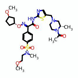 COCCN(C)S(=O)(=O)c1ccc(/C(=N\O[C@@H]2CC[C@@H](OC)C2)C(=O)Nc2ncc(CN3CCN(C(C)=O)[C@@H](C)C3)s2)cc1